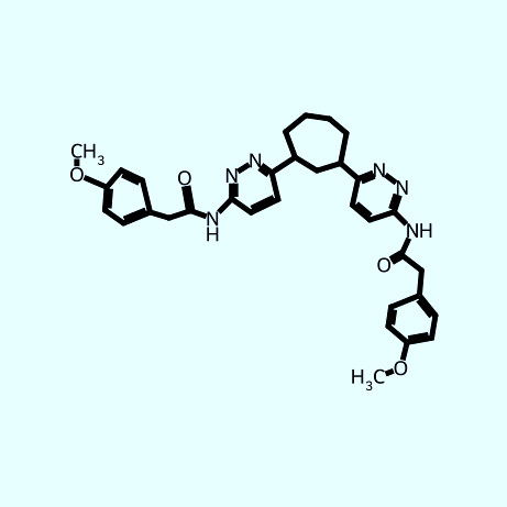 COc1ccc(CC(=O)Nc2ccc(C3CCCCC(c4ccc(NC(=O)Cc5ccc(OC)cc5)nn4)C3)nn2)cc1